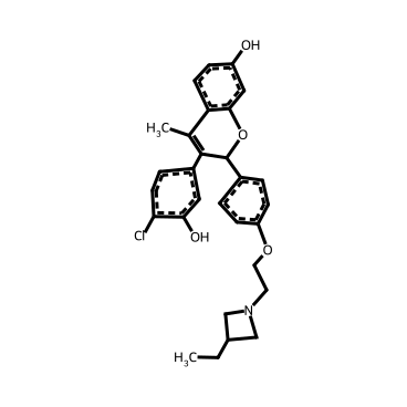 CCC1CN(CCOc2ccc(C3Oc4cc(O)ccc4C(C)=C3c3ccc(Cl)c(O)c3)cc2)C1